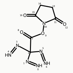 N=NC(N=N)(N=N)C(=O)ON1C(=O)CCC1=O